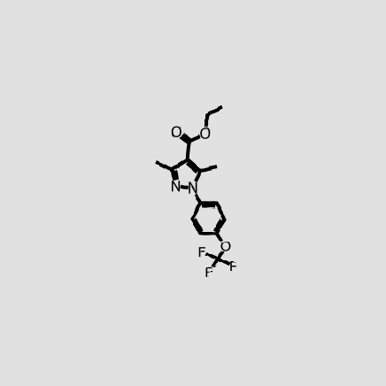 CCOC(=O)c1c(C)nn(-c2ccc(OC(F)(F)F)cc2)c1C